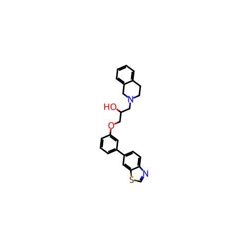 OC(COc1cccc(-c2ccc3ncsc3c2)c1)CN1CCc2ccccc2C1